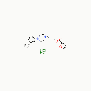 Cl.Cl.O=C(OCCCN1CCN(c2cccc(C(F)(F)F)c2)CC1)c1ccco1